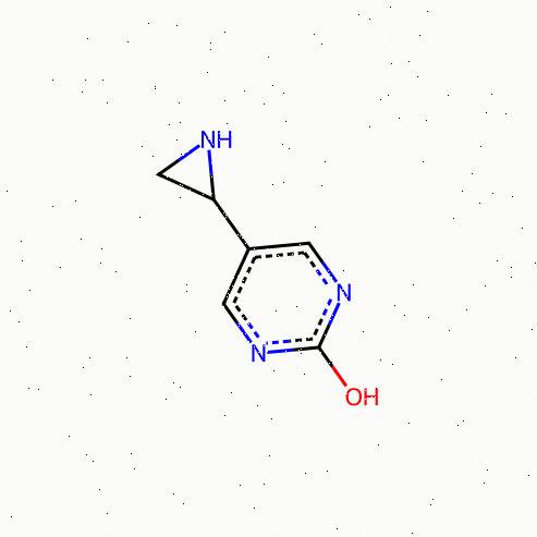 Oc1ncc(C2CN2)cn1